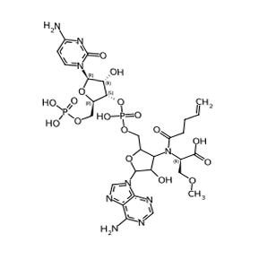 C=CCCC(=O)N(C1C(COP(=O)(O)O[C@H]2[C@@H](O)[C@H](n3ccc(N)nc3=O)O[C@@H]2COP(=O)(O)O)OC(n2cnc3c(N)ncnc32)C1O)[C@H](COC)C(=O)O